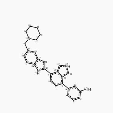 Oc1cccc(-c2ccc(-c3cc4cc(CN5CCCCC5)ccc4[nH]3)c3c[nH]cc23)c1